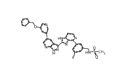 CS(=O)(=O)NCc1cc(F)cc(-c2nccc3[nH]c(-c4n[nH]c5ncc(-c6cncc(OCc7ccccc7)c6)cc45)nc23)c1